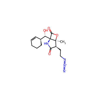 C[C@@]12OC(=O)[C@]1([C@@H](O)[C@@H]1C=CCCC1)NC(=O)[C@@H]2CCN=[N+]=[N-]